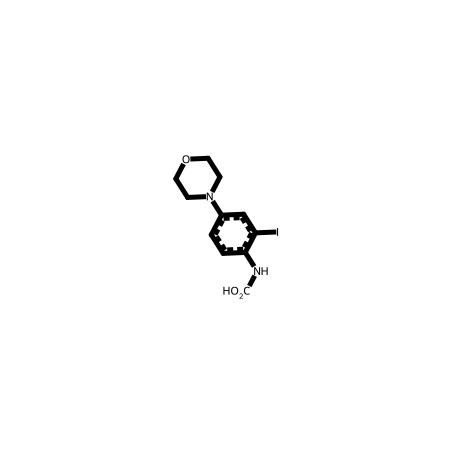 O=C(O)Nc1ccc(N2CCOCC2)cc1I